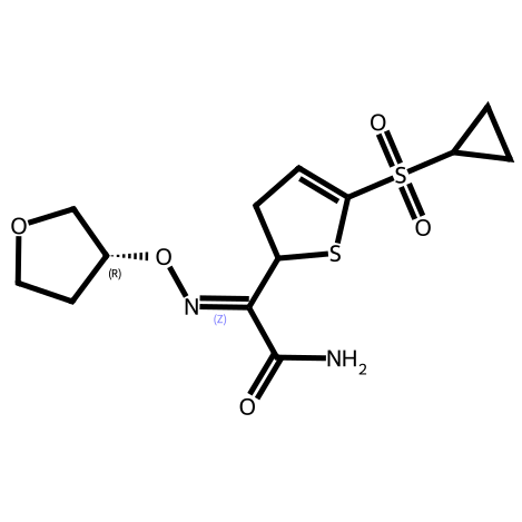 NC(=O)/C(=N/O[C@@H]1CCOC1)C1CC=C(S(=O)(=O)C2CC2)S1